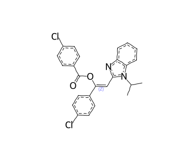 CC(C)n1c(/C=C(\OC(=O)c2ccc(Cl)cc2)c2ccc(Cl)cc2)nc2ccccc21